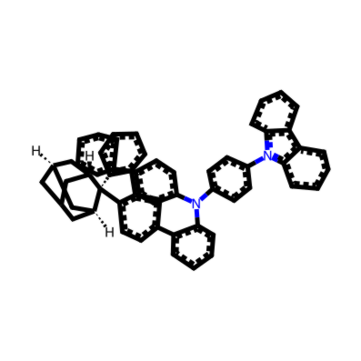 c1ccc(-c2ccc(N(c3ccc(-n4c5ccccc5c5ccccc54)cc3)c3ccccc3-c3ccc4c(c3)-c3ccccc3[C@]43[C@@H]4CC5C[C@@H](C4)C[C@@H]3C5)cc2)cc1